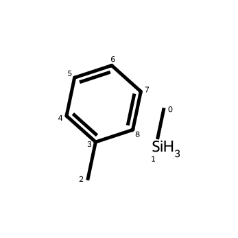 C[SiH3].Cc1ccccc1